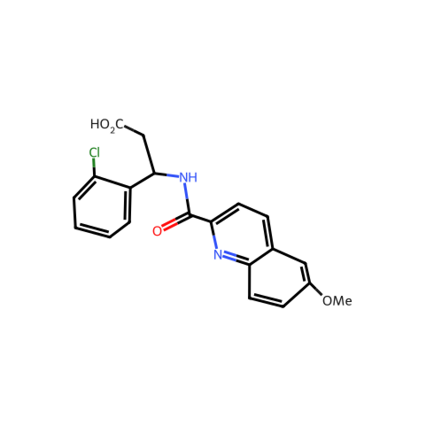 COc1ccc2nc(C(=O)NC(CC(=O)O)c3ccccc3Cl)ccc2c1